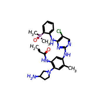 C=CC(=O)Nc1cc(Nc2ncc(Cl)c(Nc3ccccc3P(C)(C)=O)n2)c(C)cc1N1CCC(N)C1